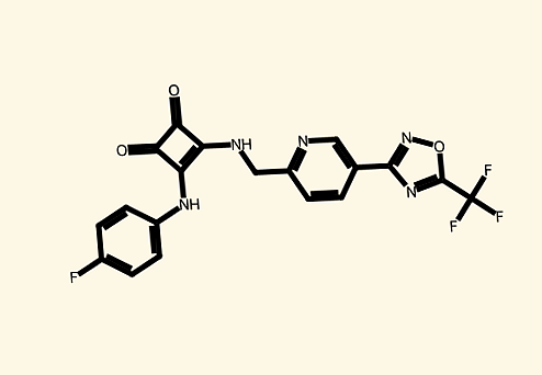 O=c1c(NCc2ccc(-c3noc(C(F)(F)F)n3)cn2)c(Nc2ccc(F)cc2)c1=O